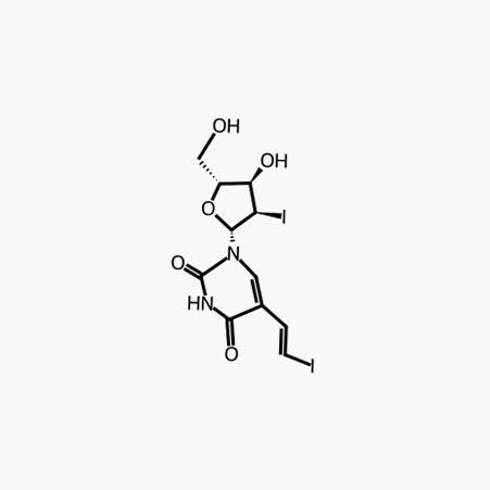 O=c1[nH]c(=O)n([C@@H]2O[C@H](CO)[C@@H](O)[C@H]2I)cc1C=CI